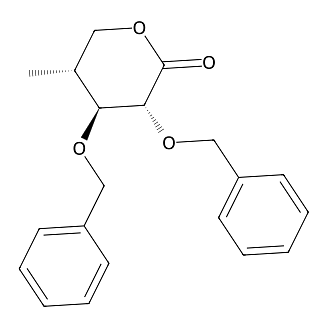 C[C@@H]1COC(=O)[C@H](OCc2ccccc2)[C@H]1OCc1ccccc1